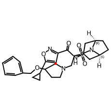 O=C(N[C@H]1C[C@H]2CC[C@@H](C1)N2S(=O)(=O)CCN1CCC(OCc2ccccc2)C1)c1cc(C2CC2)on1